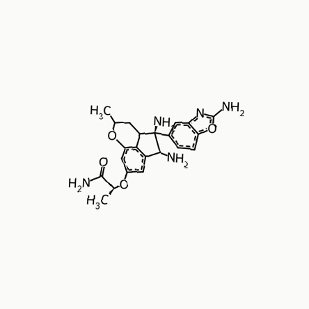 CC1CC2c3c(cc(O[C@@H](C)C(N)=O)cc3C(N)[C@@]2(N)c2ccc3oc(N)nc3c2)O1